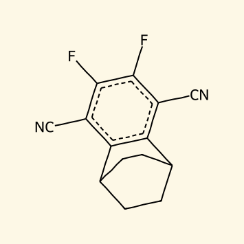 N#Cc1c(F)c(F)c(C#N)c2c1C1CCC2CC1